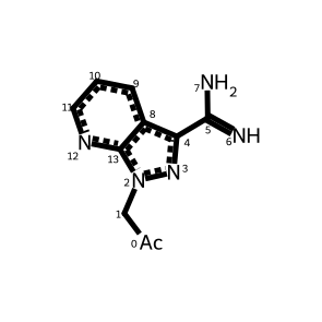 CC(=O)Cn1nc(C(=N)N)c2cccnc21